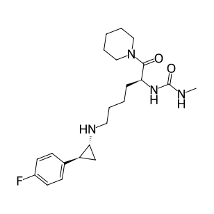 CNC(=O)N[C@@H](CCCCN[C@@H]1C[C@H]1c1ccc(F)cc1)C(=O)N1CCCCC1